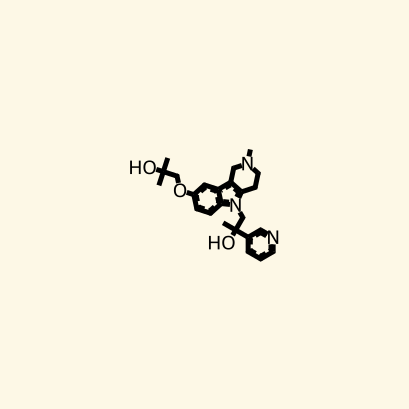 CN1CCc2c(c3cc(OCC(C)(C)O)ccc3n2CC(C)(O)c2cccnc2)C1